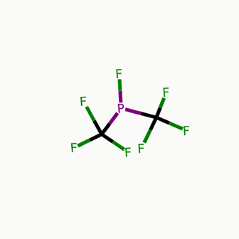 FP(C(F)(F)F)C(F)(F)F